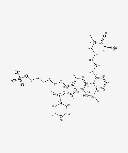 CCS(=O)(=O)OCCCCCCc1c(C(=O)N2CCOCC2)sc2c(NC(C)c3cccc(COCCCN(C)C(=O)OC(C)(C)C)c3)ncnc12